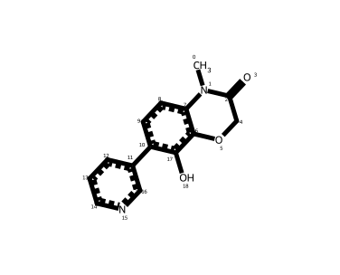 CN1C(=O)COc2c1ccc(-c1cccnc1)c2O